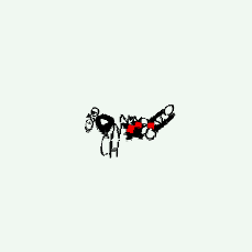 Cc1c(Nc2ccc(S(C)(=O)=O)cc2Cl)ncnc1OC1CC2COCC(C1)N2C(=O)OC1(C)CC1